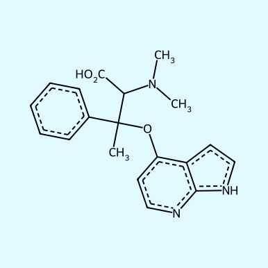 CN(C)C(C(=O)O)C(C)(Oc1ccnc2[nH]ccc12)c1ccccc1